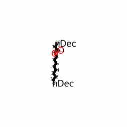 CCCCCCCCCCCCCCCCCCOC(=O)CCCCCCCCCCC